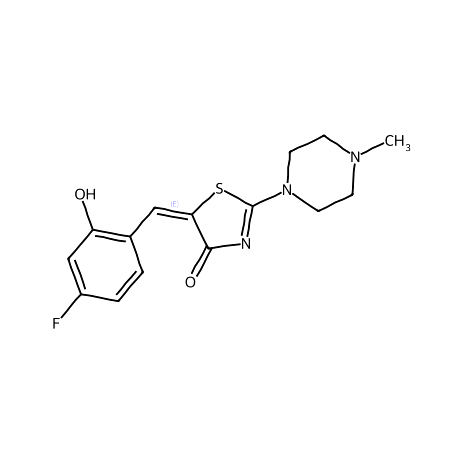 CN1CCN(C2=NC(=O)/C(=C\c3ccc(F)cc3O)S2)CC1